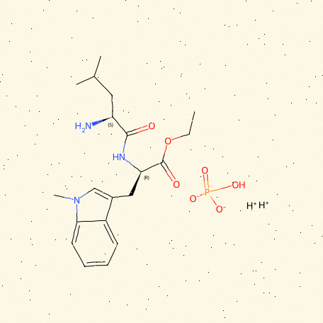 CCOC(=O)[C@@H](Cc1cn(C)c2ccccc12)NC(=O)[C@@H](N)CC(C)C.O=P([O-])([O-])O.[H+].[H+]